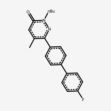 CCCCn1nc(-c2ccc(-c3ccc(F)cc3)cc2)c(C)cc1=O